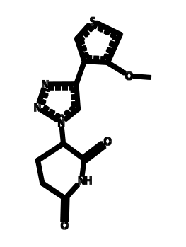 COc1cscc1-c1cn(C2CCC(=O)NC2=O)nn1